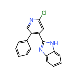 Clc1cc(-c2nc3ccccc3[nH]2)c(-c2ccccc2)cn1